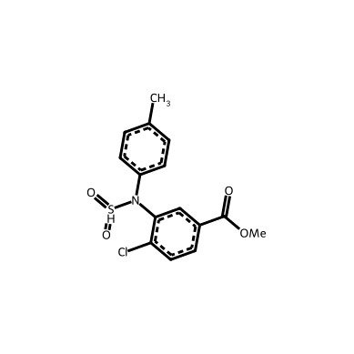 COC(=O)c1ccc(Cl)c(N(c2ccc(C)cc2)[SH](=O)=O)c1